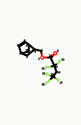 O=C(OCC1CC2C=CC1C2)C(F)(F)CC(F)(F)F